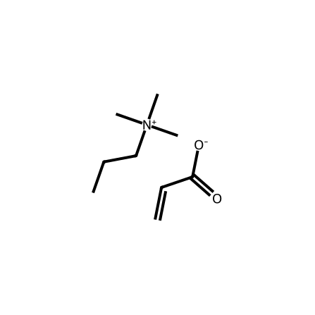 C=CC(=O)[O-].CCC[N+](C)(C)C